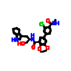 CNC(=O)c1ccc(-c2cc3c(c(C(=O)N[C@@H](CO)Cc4c[nH]c5ccccc45)c2)OCCO3)cc1Cl